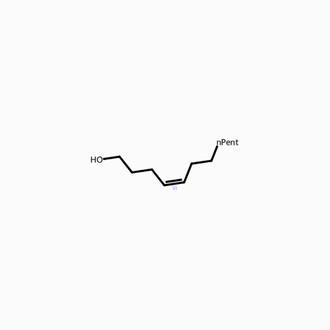 CCCCCCC/C=C\CCCO